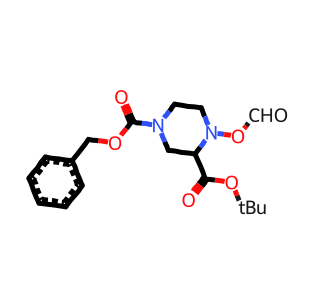 CC(C)(C)OC(=O)C1CN(C(=O)OCc2ccccc2)CCN1OC=O